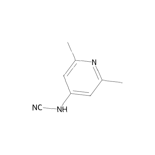 Cc1cc(NC#N)cc(C)n1